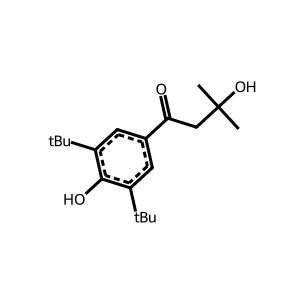 CC(C)(O)CC(=O)c1cc(C(C)(C)C)c(O)c(C(C)(C)C)c1